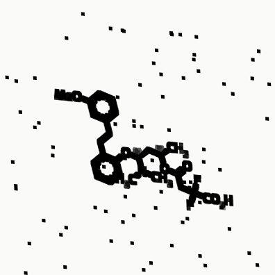 COc1cccc(CCc2ccccc2O[C@@H](C[C@@H](C)OC(=O)CC(F)(F)C(=O)O)N(C)C)c1